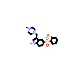 CN1CCN(Cc2c[nH]c3ccc(S(=O)(=O)c4ccccc4Br)cc23)CC1